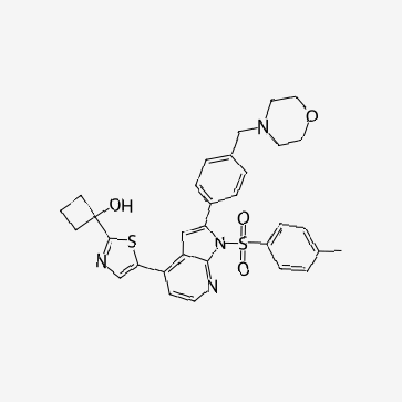 Cc1ccc(S(=O)(=O)n2c(-c3ccc(CN4CCOCC4)cc3)cc3c(-c4cnc(C5(O)CCC5)s4)ccnc32)cc1